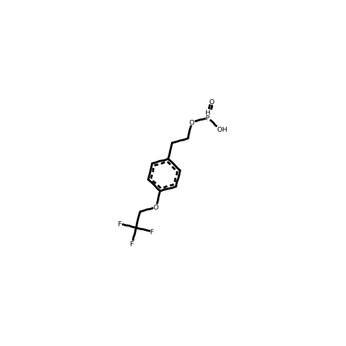 O=[PH](O)OCCc1ccc(OCC(F)(F)F)cc1